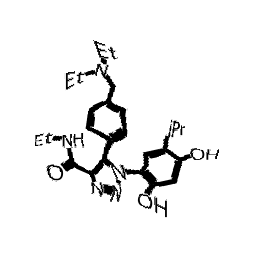 CCNC(=O)c1nnn(-c2cc(C(C)C)c(O)cc2O)c1-c1ccc(CN(CC)CC)cc1